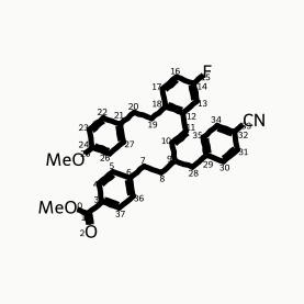 COC(=O)c1ccc(CCC(/C=C/c2cc(F)ccc2CCc2ccc(OC)cc2)Cc2ccc(C#N)cc2)cc1